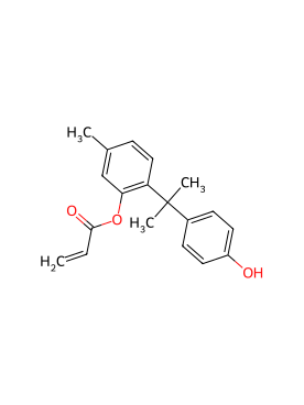 C=CC(=O)Oc1cc(C)ccc1C(C)(C)c1ccc(O)cc1